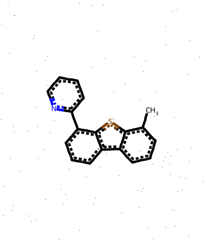 Cc1cccc2c1sc1c(-c3ccccn3)cccc12